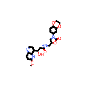 COc1ccc2nccc([C@@H](O)CC(=O)NCC3CN(c4ccc5c(c4)OCCO5)C(=O)O3)c2n1